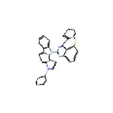 c1ccc(-n2ccc3c2ccc2c4ccccc4n(-c4nc5c6c(cccc6n4)Sc4ccccc4-5)c23)cc1